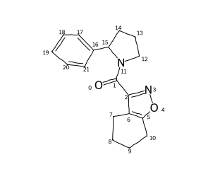 O=C(c1noc2c1CCCC2)N1CCCC1c1ccccc1